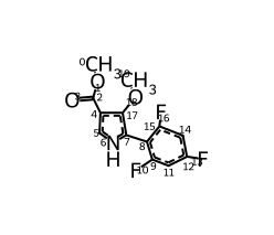 COC(=O)c1c[nH]c(-c2c(F)cc(F)cc2F)c1OC